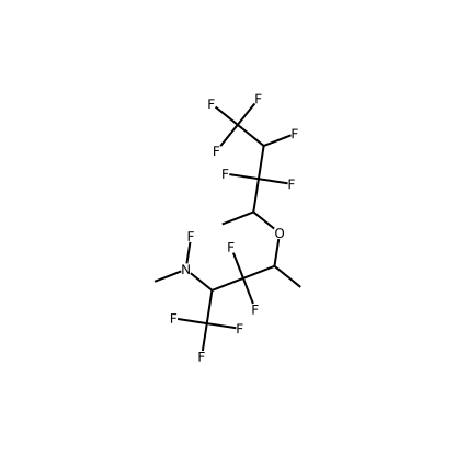 CC(OC(C)C(F)(F)C(N(C)F)C(F)(F)F)C(F)(F)C(F)C(F)(F)F